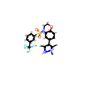 Cc1nn(C)c(C)c1-c1ccc2c(c1)N(S(=O)(=O)c1cccc(C(F)(F)F)c1)CCO2